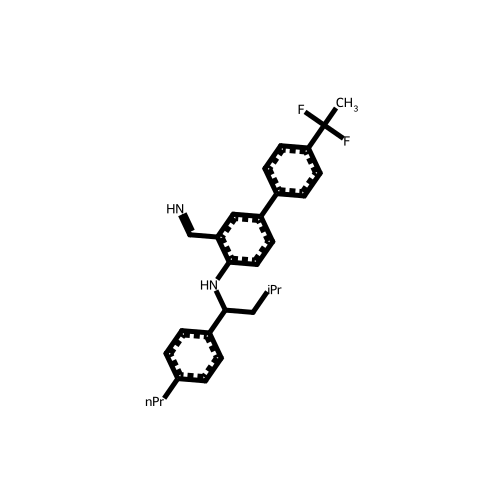 CCCc1ccc(C(CC(C)C)Nc2ccc(-c3ccc(C(C)(F)F)cc3)cc2C=N)cc1